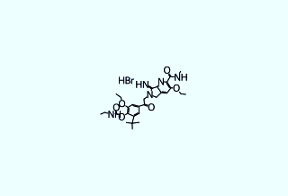 Br.CCNC(=O)Oc1c(OCC)cc(C(=O)CN2Cc3cc(OCC)c(C(=O)NC)nc3C2=N)cc1C(C)(C)C